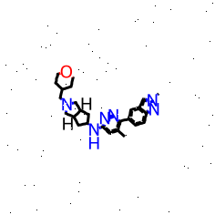 Cc1cc(N[C@H]2C[C@@H]3CN(CC4CCOCC4)C[C@@H]3C2)nnc1-c1ccc2nn(C)cc2c1